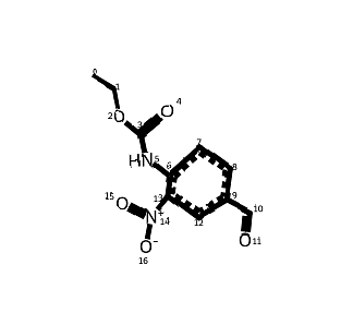 CCOC(=O)Nc1ccc(C=O)cc1[N+](=O)[O-]